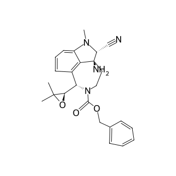 CN1c2cccc3c2[C@@](N)(CCN(C(=O)OCc2ccccc2)[C@@H]3[C@H]2OC2(C)C)[C@H]1C#N